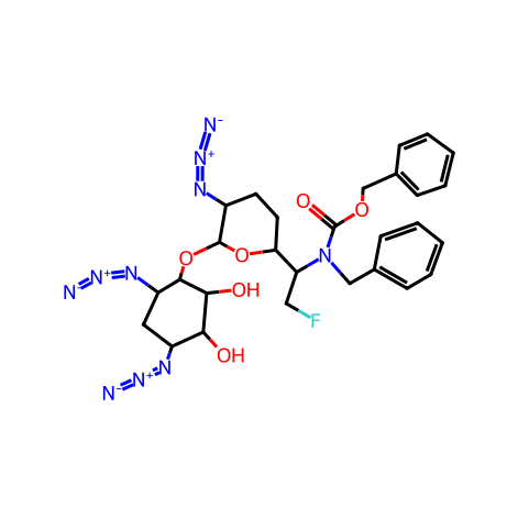 [N-]=[N+]=NC1CCC(C(CF)N(Cc2ccccc2)C(=O)OCc2ccccc2)OC1OC1C(N=[N+]=[N-])CC(N=[N+]=[N-])C(O)C1O